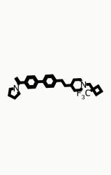 C=C(c1ccc(-c2ccc(CCC3CCN(CC4(C(F)(F)F)CCC4)CC3)cc2)cc1)N1CCCC1